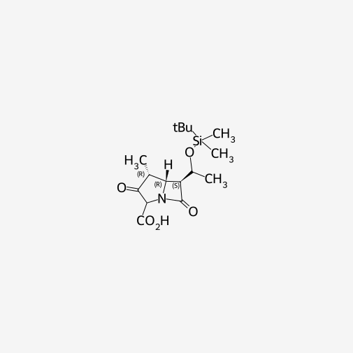 CC(O[Si](C)(C)C(C)(C)C)[C@H]1C(=O)N2C(C(=O)O)C(=O)[C@H](C)[C@H]12